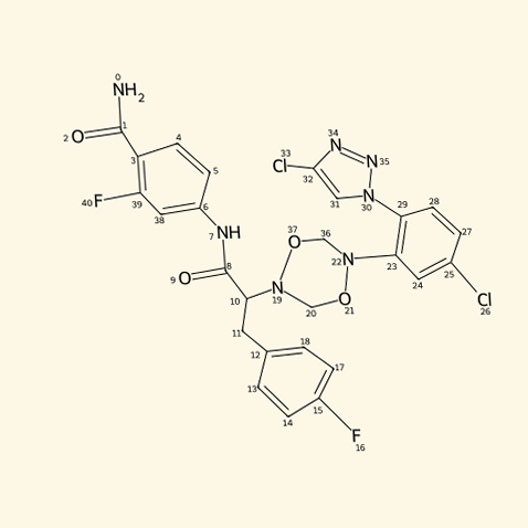 NC(=O)c1ccc(NC(=O)C(Cc2ccc(F)cc2)N2CON(c3cc(Cl)ccc3-n3cc(Cl)nn3)CO2)cc1F